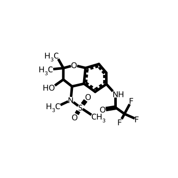 CN(C1c2cc(NC(=O)C(F)(F)F)ccc2OC(C)(C)C1O)S(C)(=O)=O